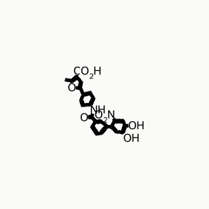 Cc1oc(-c2ccc(NC(=O)c3cccc(-c4cc(O)c(O)cc4[N+](=O)[O-])c3)cc2)cc1C(=O)O